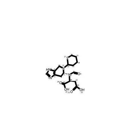 O=CN([C@@H]1Cc2nc[nH]c2CN1C1CCCCS1)[C@@H](CC(=O)O)C(=O)O